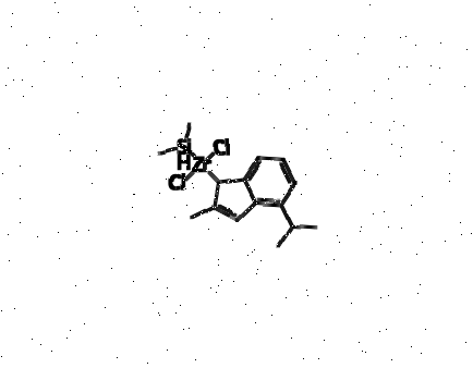 CC1=Cc2c(C(C)C)cccc2[CH]1[Zr]([Cl])([Cl])[SiH](C)C